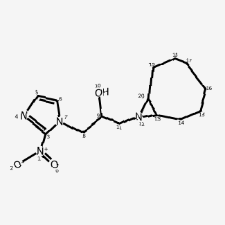 O=[N+]([O-])c1nccn1CC(O)CN1C2CCCCCCC21